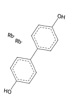 Oc1ccc(-c2ccc(O)cc2)cc1.[Rb].[Rb]